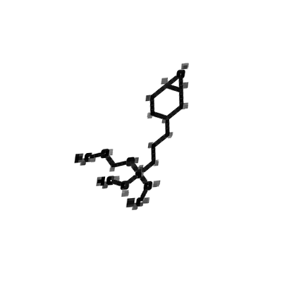 COCO[Si](CCCC1CCC2OC2C1)(OC)OC